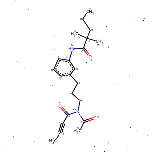 CC#CC(=O)N(CCCc1cccc(NC(=O)C(C)(C)CCC)c1)C(C)=O